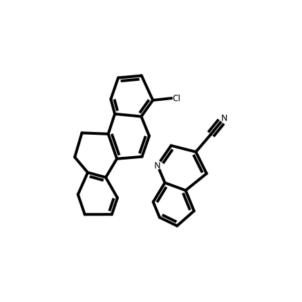 Clc1cccc2c3c(ccc12)C1=C(CCC=C1)CC3.N#Cc1cnc2ccccc2c1